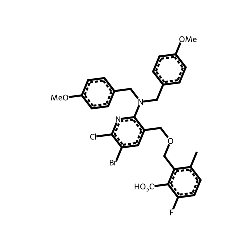 COc1ccc(CN(Cc2ccc(OC)cc2)c2nc(Cl)c(Br)cc2COCc2c(C)ccc(F)c2C(=O)O)cc1